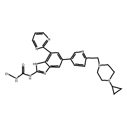 CCNC(=O)Nc1nc2cc(-c3ccc(CN4CCN(C5CC5)CC4)nc3)cc(-c3ncccn3)c2[nH]1